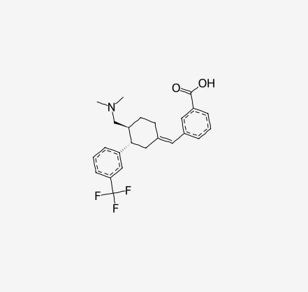 CN(C)C[C@H]1CC/C(=C\c2cccc(C(=O)O)c2)C[C@@H]1c1cccc(C(F)(F)F)c1